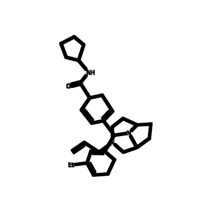 C=CCN1CCC2CCC(C1)N2C(C1=CCC(C(=O)NC2CCCC2)C=C1)C1=CC(CC)=CCC1